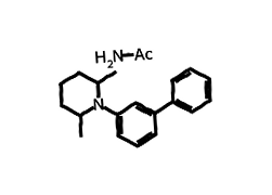 CC(N)=O.CC1CCCC(C)N1c1cccc(-c2ccccc2)c1